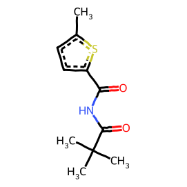 Cc1ccc(C(=O)NC(=O)C(C)(C)C)s1